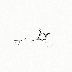 CNc1c(NCC2CC2)c(=O)c1=O